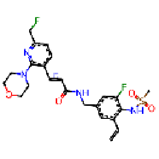 C=Cc1cc(CNC(=O)/C=C/c2ccc(CF)nc2N2CCOCC2)cc(F)c1NS(C)(=O)=O